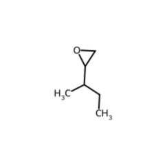 CCC(C)C1CO1